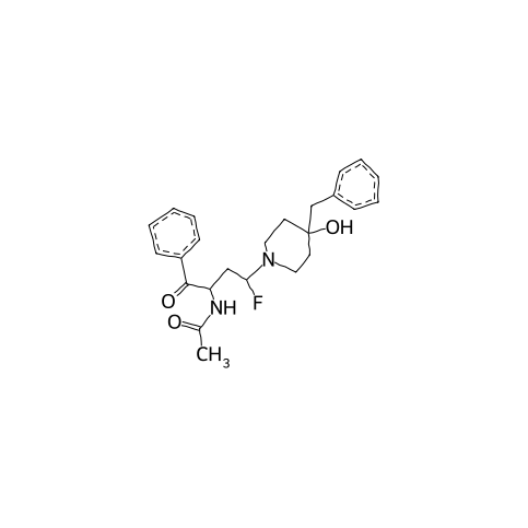 CC(=O)NC(CC(F)N1CCC(O)(Cc2ccccc2)CC1)C(=O)c1ccccc1